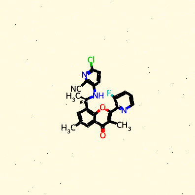 Cc1cc([C@@H](C)Nc2ccc(Cl)nc2C#N)c2oc(-c3ncccc3F)c(C)c(=O)c2c1